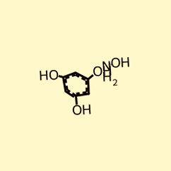 NO.Oc1cc(O)cc(O)c1